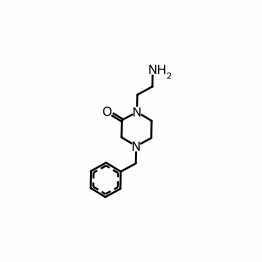 NCCN1CCN(Cc2ccccc2)CC1=O